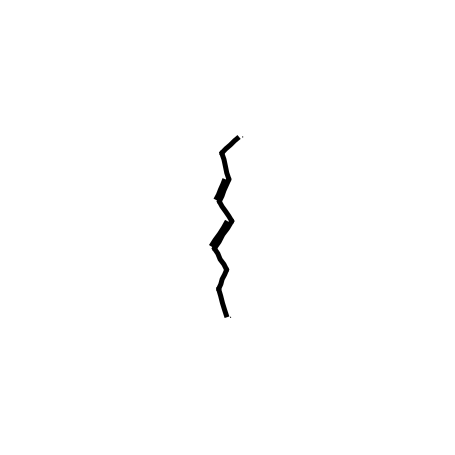 [CH2]C/C=C/C=C/CC[CH2]